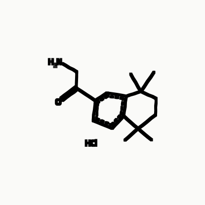 CC1(C)CCC(C)(C)c2cc(C(=O)CN)ccc21.Cl